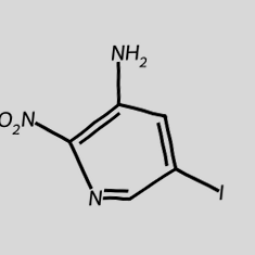 Nc1cc(I)cnc1[N+](=O)[O-]